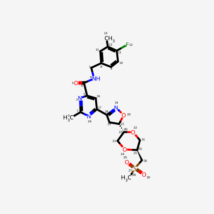 Cc1nc(C(=O)NCc2ccc(F)c(C)c2)cc(C2=NOC([C@H]3CO[C@H](CS(C)(=O)=O)CO3)C2)n1